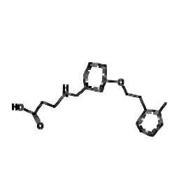 Cc1ccccc1CCOc1cccc(CNCCC(=O)O)c1